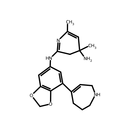 CC1=CC(C)(N)CC(Nc2cc3c(c(C4=CCNCCC4)c2)OCO3)=N1